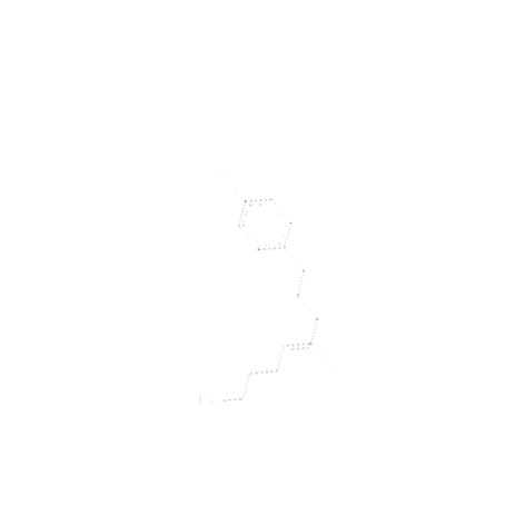 CCCc1ccc(CCCC(C)=CCCCO)cc1